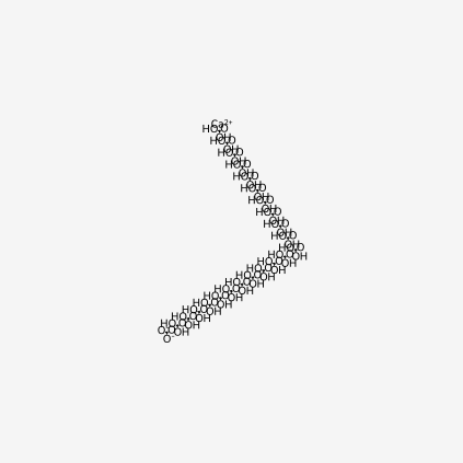 O=C(O)O.O=C(O)O.O=C(O)O.O=C(O)O.O=C(O)O.O=C(O)O.O=C(O)O.O=C(O)O.O=C(O)O.O=C(O)O.O=C(O)O.O=C(O)O.O=C(O)O.O=C(O)O.O=C(O)O.O=C(O)O.O=C(O)O.O=C(O)O.O=C(O)O.O=C(O)O.O=C(O)O.O=C(O)O.O=C([O-])[O-].[Ca+2]